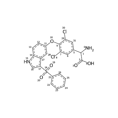 NC(C(=O)O)c1cc(Cl)c(Oc2ccc3[nH]cc(S(=O)(=O)c4ccccc4)c3c2)c(Cl)c1